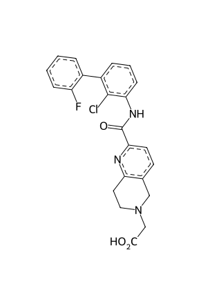 O=C(O)CN1CCc2nc(C(=O)Nc3cccc(-c4ccccc4F)c3Cl)ccc2C1